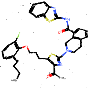 CNCCCc1cccc(F)c1OCCCc1sc(N2CCc3cccc(C(=O)Nc4nc5ccccc5s4)c3C2)nc1C(=O)OC